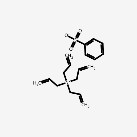 C=CC[N+](CC=C)(CC=C)CC=C.O=S(=O)([O-])c1ccccc1